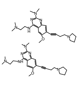 COc1cc2c(NCCN(C)C)nc(N(C)C)nc2cc1C#CCCN1CCCC1.COc1cc2c(NCCN(C)C)nc(N(C)C)nc2cc1C#CCCN1CCCC1